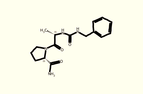 C[C@H](NC(=O)NCc1ccccc1)C(=O)N1CCC[C@H]1C(N)=O